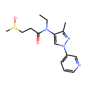 CCN(C(=O)CC[S+](C)[O-])c1cn(-c2cccnc2)nc1C